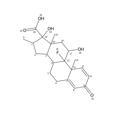 CC1CC2C3CCC4=CC(=O)C=CC4(C)C3(F)C(O)CC2(C)C1(O)C(=O)O